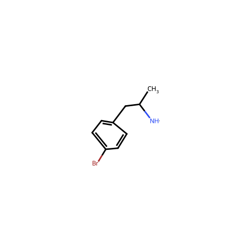 CC([NH])Cc1ccc(Br)cc1